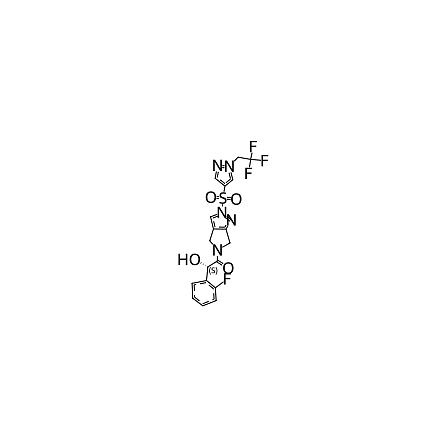 O=C([C@@H](O)c1ccccc1F)N1Cc2cn(S(=O)(=O)c3cnn(CC(F)(F)F)c3)nc2C1